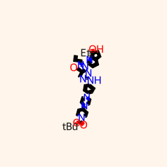 C=CCn1c(=O)c2cnc(Nc3ccc(N4CCN(C5CCN(C(=O)OC(C)(C)C)CC5)CC4)cc3)nc2n1-c1ccc2c(n1)[C@@](O)(CC)CC2